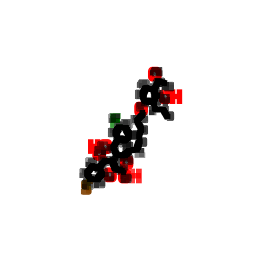 CCCc1c(OCCCC/C=C\C=C\[C@@H](c2c(C(=O)O)oc3c(c2=O)=CCC(=S)C=3)[C@@H](O)c2cccc(F)c2)ccc(C(C)=O)c1O